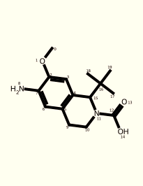 COc1cc2c(cc1N)CCN(C(=O)O)C2C(C)(C)C